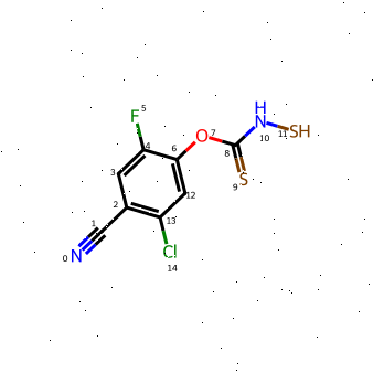 N#Cc1cc(F)c(OC(=S)NS)cc1Cl